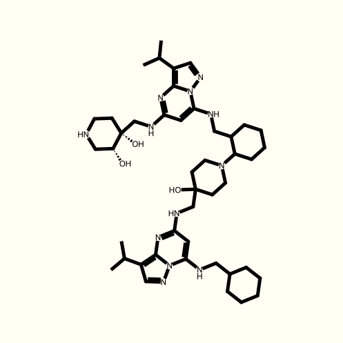 CC(C)c1cnn2c(NCC3CCCCC3)cc(NCC3(O)CCN(C4CCCCC4CNc4cc(NC[C@]5(O)CCNC[C@H]5O)nc5c(C(C)C)cnn45)CC3)nc12